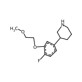 COCCOc1cc(C2CCCNC2)ccc1F